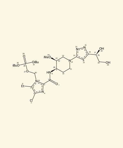 CCc1c(Cl)nc(C(=O)N[C@@H]2CCN(c3nnc([C@@H](O)CO)s3)C[C@@H]2OC)n1COP(=O)(OCC(C)C)OCC(C)C